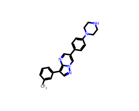 FC(F)(F)c1cccc(-c2cnn3cc(-c4ccc(N5CCNCC5)cc4)cnc23)c1